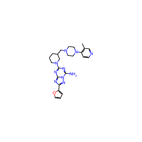 Cc1cnccc1N1CCN(CC2CCCN(c3nc(N)n4nc(-c5ccco5)nc4n3)C2)CC1